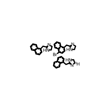 Brc1ccc(CC2=NCCN2)c2ccccc12.[3H]C1CNC(Cc2cccc3ccccc23)=N1.c1ccc2c(CC3=NCCN3)cccc2c1